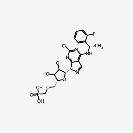 C[C@H](Nc1nc(Cl)nc2c1cnn2[C@@H]1O[C@H](COCP(=O)(O)O)[C@@H](O)[C@H]1O)c1ccccc1F